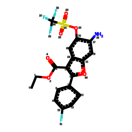 CCOC(=O)c1c(-c2ccc(F)cc2)oc2cc(N)c(OS(=O)(=O)C(F)(F)F)cc12